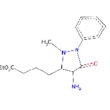 CCOC(=O)CCCC1C(N)C(=O)N(c2ccccc2)N1C